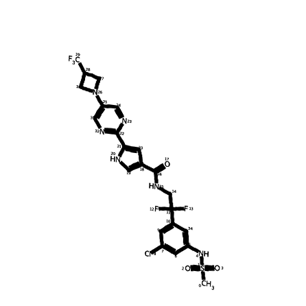 CS(=O)(=O)Nc1cc(Cl)cc(C(F)(F)CNC(=O)c2c[nH]c(-c3ncc(N4CC(C(F)(F)F)C4)cn3)c2)c1